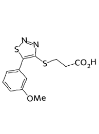 COc1cccc(-c2snnc2SCCC(=O)O)c1